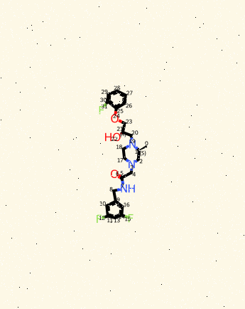 C[C@H]1CN(CC(=O)NCc2cc(F)cc(F)c2)CCN1C[C@@H](O)COc1ccccc1F